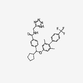 Cc1cc(OC(c2ccc(C(=O)NCc3nnn[nH]3)cc2)C2CCCC2)cc(C)c1-c1ccc(C(F)(F)F)cc1